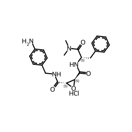 CN(C)C(=O)[C@H](Cc1ccccc1)NC(=O)[C@H]1O[C@@H]1C(=O)NCc1ccc(N)cc1.Cl